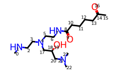 CNCCN(CCNC(=O)CCCCC(C)=O)CC(O)CN(C)C